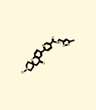 CCN1CCC2(CC1)CC(=O)c1cc(-c3ccc(C(=O)NCc4cc(C)no4)cn3)ccc1O2